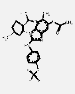 CC(=O)Oc1cc2nc(Nc3ccc(OC(F)(F)F)cc3)n([C@@H]3C[C@H](C)CC[C@H]3C(C)C)c2cc1C